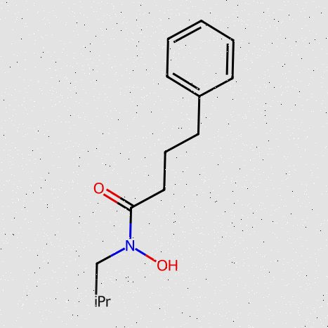 CC(C)CN(O)C(=O)CCCc1ccccc1